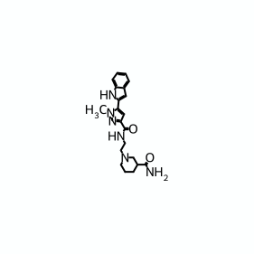 Cn1nc(C(=O)NCCN2CCCC(C(N)=O)C2)cc1-c1cc2ccccc2[nH]1